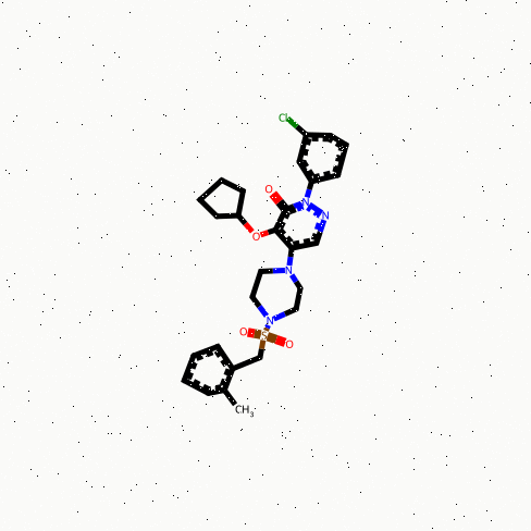 Cc1ccccc1CS(=O)(=O)N1CCN(c2cnn(-c3cccc(Cl)c3)c(=O)c2OC2CCCC2)CC1